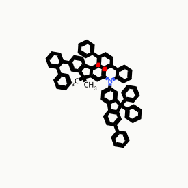 CC1(C)c2cc(-c3ccccc3-c3ccccc3)ccc2-c2ccc(N(c3ccc4c(c3)C(c3ccccc3)(c3ccccc3)c3cc(-c5ccccc5)ccc3-4)c3ccccc3-c3ccc(-c4ccccc4)cc3)cc21